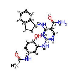 CC(=O)Nc1ccc(O)c(Nc2ncc(C(N)=O)c(NC3CCc4ccccc43)n2)c1